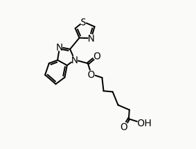 O=C(O)CCCCCOC(=O)n1c(-c2cscn2)nc2ccccc21